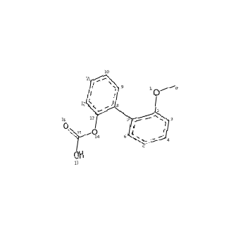 COc1ccccc1-c1ccccc1OC(=O)O